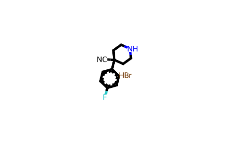 Br.N#CC1(c2ccc(F)cc2)CCNCC1